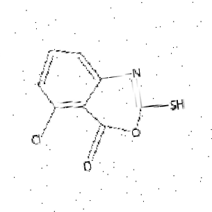 O=c1oc(S)nc2cccc(Cl)c12